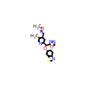 CO/N=C/c1cc(C(Oc2ccc3ncsc3c2)c2nnco2)ncc1C